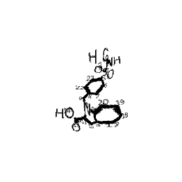 CNS(=O)(=O)c1ccc(Cn2c(C(=O)O)cc3ccccc32)cc1